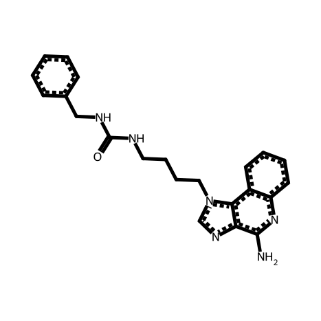 Nc1nc2ccccc2c2c1ncn2CCCCNC(=O)NCc1ccccc1